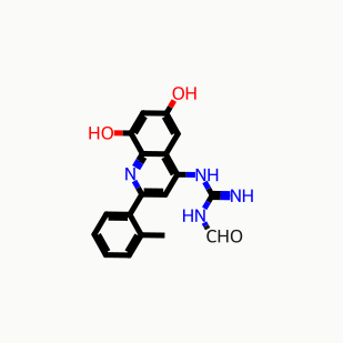 Cc1ccccc1-c1cc(NC(=N)NC=O)c2cc(O)cc(O)c2n1